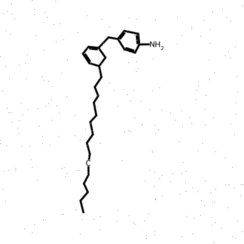 CCCCCCCCCCCCCCCC1C=CC=C(Cc2ccc(N)cc2)C1